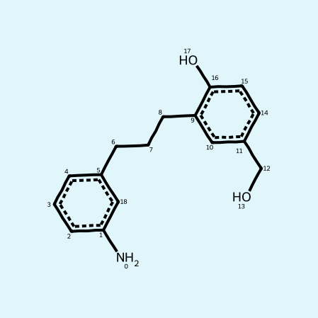 Nc1cccc(CCCc2cc(CO)ccc2O)c1